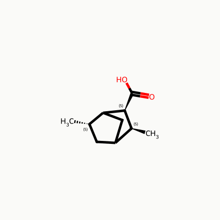 C[C@H]1CC2CC1[C@@H](C(=O)O)[C@H]2C